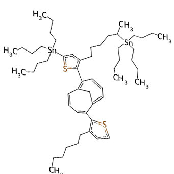 CCCCCCc1ccsc1C1=CC=CC2=C(c3s[c]([Sn]([CH2]CCC)([CH2]CCC)[CH2]CCC)cc3CCCC[CH](C)[Sn]([CH2]CCC)([CH2]CCC)[CH2]CCC)C=CC=C1C2